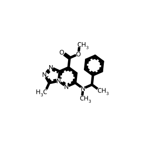 COC(=O)c1cc(N(C)C(C)c2ccccc2)nn2c(C)nnc12